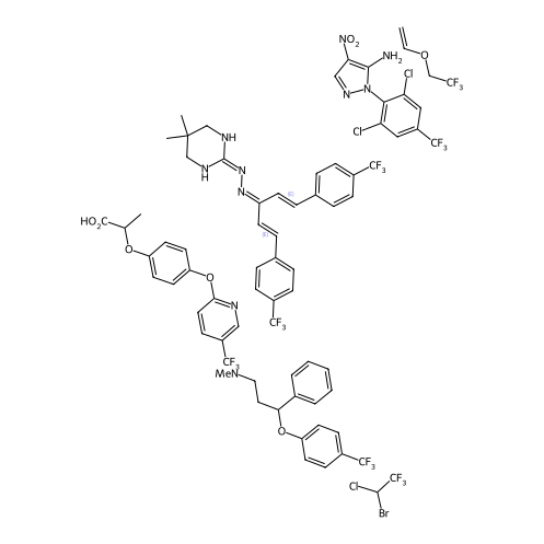 C=COCC(F)(F)F.CC(Oc1ccc(Oc2ccc(C(F)(F)F)cn2)cc1)C(=O)O.CC1(C)CNC(=NN=C(/C=C/c2ccc(C(F)(F)F)cc2)/C=C/c2ccc(C(F)(F)F)cc2)NC1.CNCCC(Oc1ccc(C(F)(F)F)cc1)c1ccccc1.FC(F)(F)C(Cl)Br.Nc1c([N+](=O)[O-])cnn1-c1c(Cl)cc(C(F)(F)F)cc1Cl